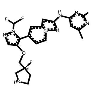 Cc1cc(Nc2cc3cc(-c4c(OC[C@]5(F)CCNC5)cnn4C(F)F)ccn3n2)nc(C)n1